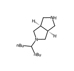 CCCCC(CCCC)N1C[C@H]2CNC[C@H]2C1